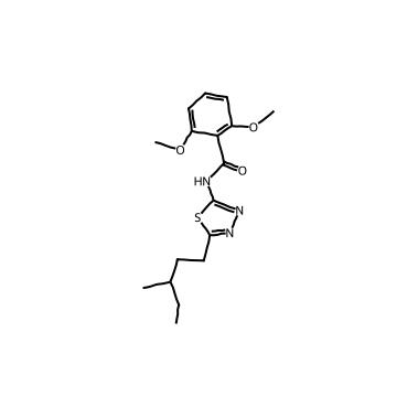 CCC(C)CCc1nnc(NC(=O)c2c(OC)cccc2OC)s1